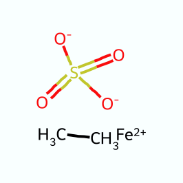 CC.O=S(=O)([O-])[O-].[Fe+2]